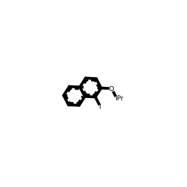 CC(C)Oc1ccc2ccccc2c1I